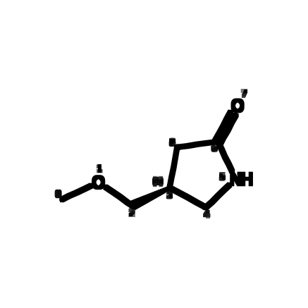 COC[C@@H]1CNC(=O)C1